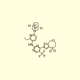 CCc1nc(N2C[C@H]3CC[C@@H](C2)N3)ccc1Nc1ncc(C(F)(F)F)c(-c2cc3c(s2)COCCS3(=O)=O)n1